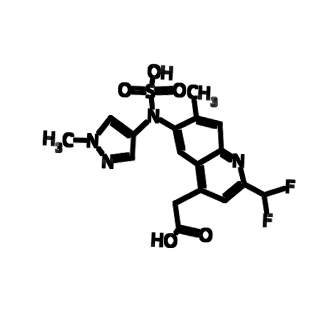 Cc1cc2nc(C(F)F)cc(CC(=O)O)c2cc1N(c1cnn(C)c1)S(=O)(=O)O